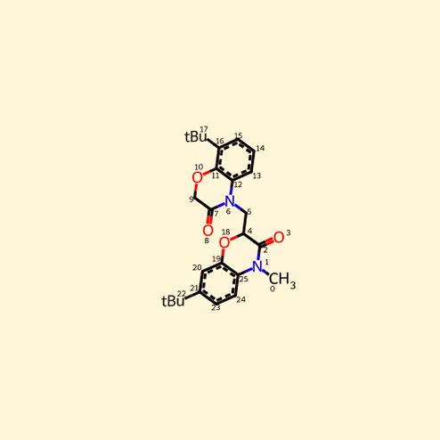 CN1C(=O)C(CN2C(=O)COc3c2cccc3C(C)(C)C)Oc2cc(C(C)(C)C)ccc21